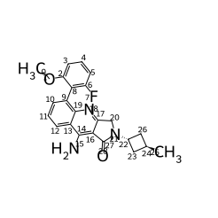 COc1cccc(F)c1-c1cccc2c(N)c3c(nc12)CN([C@H]1C[C@H](C)C1)C3=O